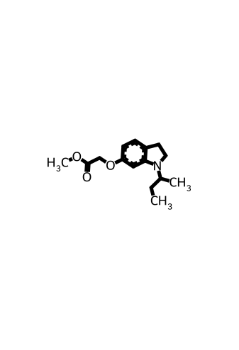 CCC(C)N1CCc2ccc(OCC(=O)OC)cc21